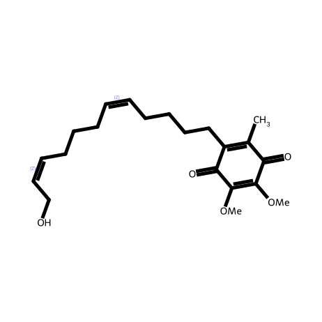 COC1=C(OC)C(=O)C(CCCC/C=C\CCC/C=C\CO)=C(C)C1=O